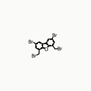 BrCc1cc(Br)cc2c1oc1c(CBr)cc(Br)cc12